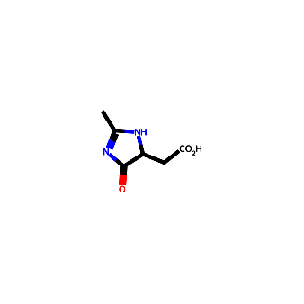 CC1=NC(=O)C(CC(=O)O)N1